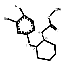 CC(C)(C)OC(=O)N[C@H]1CCCC[C@H]1Nc1ccc(C#N)c(Br)c1